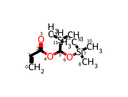 C=CC(=O)OC(O[Si](C)(C)C)[SiH](C)C